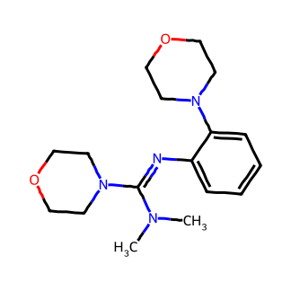 CN(C)/C(=N\c1ccccc1N1CCOCC1)N1CCOCC1